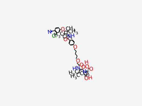 CC(C)(C)[C@H](NC(=O)COCCCCCOc1ccc(C(=O)N[C@H]2C(C)(C)[C@H](Oc3ccc(C#N)c(Cl)c3)C2(C)C)cc1)C(=O)N1C[C@H](O)C[C@H]1C(=O)O